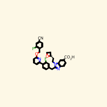 N#Cc1ccc(COc2cccc(-c3ccc(Cc4nc5ccc(C(=O)O)cc5n4CC[C@@H]4CCO4)cc3F)n2)c(F)c1